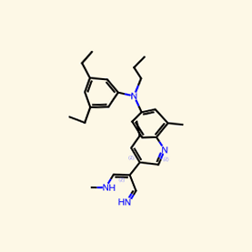 CC/C=C(\C=N/c1ccc(N(CCC)c2cc(CC)cc(CC)c2)cc1C)C(/C=N)=C/NC